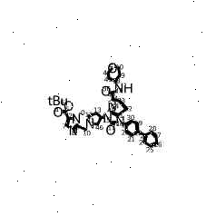 Cn1c(C(=O)OC(C)(C)C)cnc1CN1CCC(n2c(=O)n(-c3ccc(-c4ccccc4)cc3)c3ccc(C(=O)NC4CCOCC4)nc32)C1